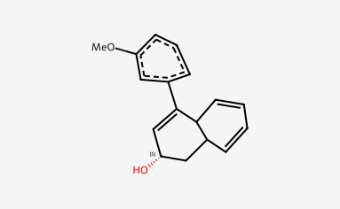 COc1cccc(C2=C[C@@H](O)CC3C=CC=CC23)c1